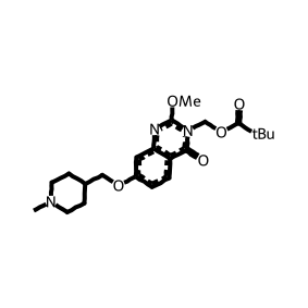 COc1nc2cc(OCC3CCN(C)CC3)ccc2c(=O)n1COC(=O)C(C)(C)C